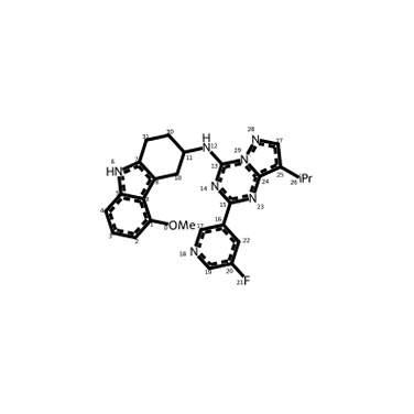 COc1cccc2[nH]c3c(c12)CC(Nc1nc(-c2cncc(F)c2)nc2c(C(C)C)cnn12)CC3